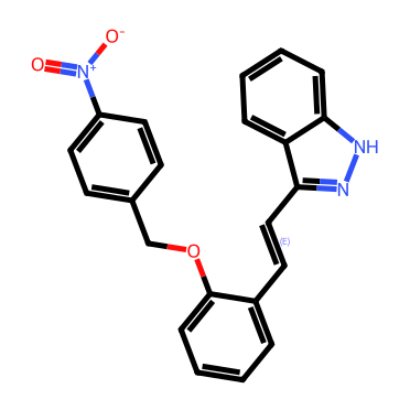 O=[N+]([O-])c1ccc(COc2ccccc2/C=C/c2n[nH]c3ccccc23)cc1